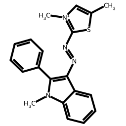 Cc1c[n+](C)c(/N=N/c2c(-c3ccccc3)n(C)c3ccccc23)s1